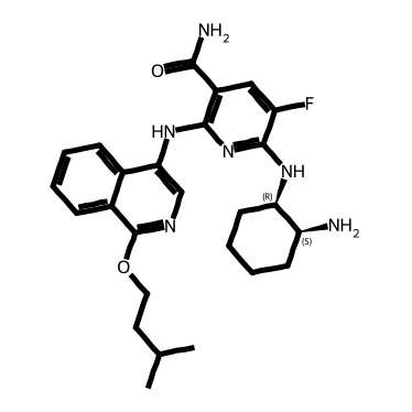 CC(C)CCOc1ncc(Nc2nc(N[C@@H]3CCCC[C@@H]3N)c(F)cc2C(N)=O)c2ccccc12